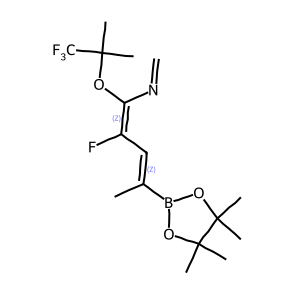 C=N/C(OC(C)(C)C(F)(F)F)=C(F)\C=C(/C)B1OC(C)(C)C(C)(C)O1